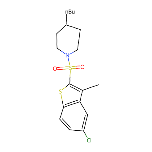 CCCCC1CCN(S(=O)(=O)c2sc3ccc(Cl)cc3c2C)CC1